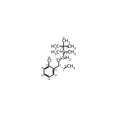 CC[C@@H](O[SiH2][Si](C)(C)C(C)(C)C)c1ccccc1Cl